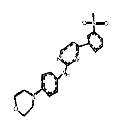 CS(=O)(=O)c1cccc(-c2ccnc(Nc3ccc(N4CCOCC4)cc3)n2)c1